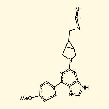 COc1ccc(-c2nc(N3CC4C(CN=[N+]=[N-])C4C3)nc3[nH]cnc23)cc1